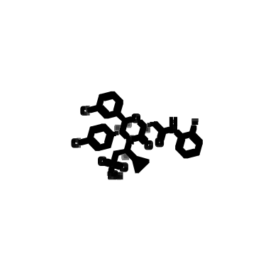 CC(C)(C)S(=O)(=O)C[C@H](C1CC1)N1C(=O)[C@@H](CC(=O)Nc2ccccc2F)O[C@H](c2cccc(Cl)c2)[C@H]1c1ccc(Cl)cc1